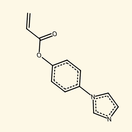 C=CC(=O)Oc1ccc(-n2ccnc2)cc1